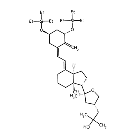 C=C1C(=CC=C2CCC[C@@]3(C)[C@@H]2CC[C@@H]3[C@]2(C)C[C@@H](CC(C)(C)O)CO2)C[C@@H](O[Si](CC)(CC)CC)C[C@@H]1O[Si](CC)(CC)CC